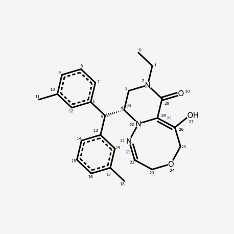 CCN1C[C@@H](C(c2cccc(C)c2)c2cccc(C)c2)N2/N=C\COC/C(O)=C\2C1=O